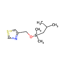 CC(C)C[Si](C)(C)OCc1cs[c]n1